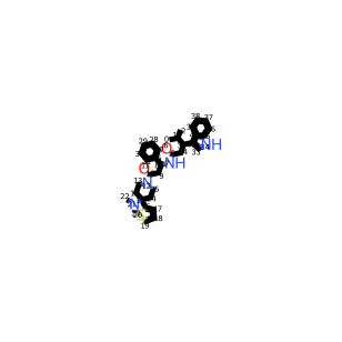 CC(C)C(CC(=O)NC(CC(=O)N1CCC(c2cccs2)(N(C)C)CC1)c1ccccc1)c1c[nH]c2ccccc12